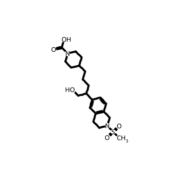 CS(=O)(=O)N1CCc2cc(C(CO)CCCC3CCN(C(=O)O)CC3)ccc2C1